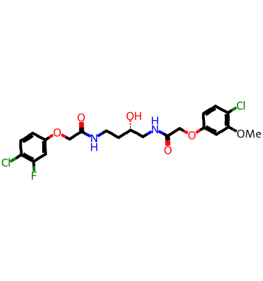 COc1cc(OCC(=O)NC[C@@H](O)CCNC(=O)COc2ccc(Cl)c(F)c2)ccc1Cl